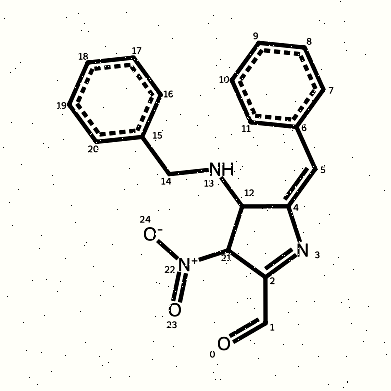 O=CC1=NC(=Cc2ccccc2)C(NCc2ccccc2)C1[N+](=O)[O-]